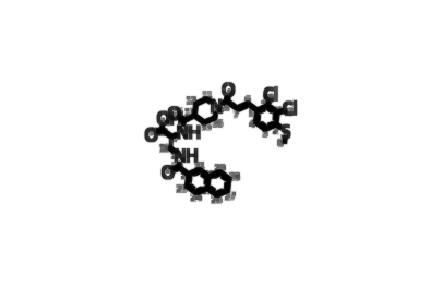 CSc1ccc(C=CC(=O)N2CCC(C(=O)N[C@@H](CNC(=O)c3ccc4ccccc4c3)C(=O)O)CC2)c(Cl)c1Cl